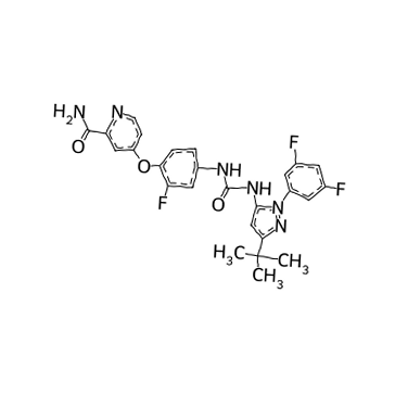 CC(C)(C)c1cc(NC(=O)Nc2ccc(Oc3ccnc(C(N)=O)c3)c(F)c2)n(-c2cc(F)cc(F)c2)n1